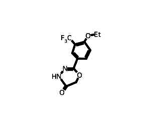 CCOc1ccc(C2=NNC(=O)CO2)cc1C(F)(F)F